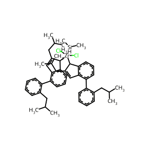 CC(C)CC1=Cc2c(-c3ccccc3CC(C)C)cccc2[CH]1[Zr]([Cl])([Cl])([CH]1C(CC(C)C)=Cc2c(-c3ccccc3CC(C)C)cccc21)[SiH](C)C